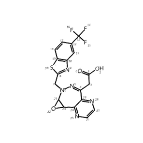 O=C(O)CC1=NN(Cc2nc3cc(C(F)(F)F)ccc3s2)C2OC2c2nccnc21